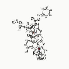 COc1ccc(CN(Cc2ccc(OC)cc2)S(=O)(=O)c2c(S(=O)(=O)N[C@H]3CN(C(=O)OC(C)(C)C)C[C@H]3NC(=O)OCc3ccccc3)ccc(I)c2-c2nn[nH]n2)cc1